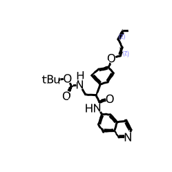 C/C=C\C=C/Oc1ccc(C(CNC(=O)OC(C)(C)C)C(=O)Nc2ccc3cnccc3c2)cc1